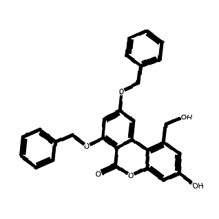 O=c1oc2cc(O)cc(CO)c2c2cc(OCc3ccccc3)cc(OCc3ccccc3)c12